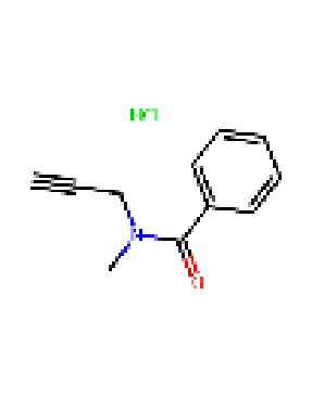 C#CCN(C)C(=O)c1ccccc1.Cl